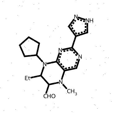 CCC1C(C=O)N(C)c2cnc(-c3cn[nH]c3)nc2N1C1CCCC1